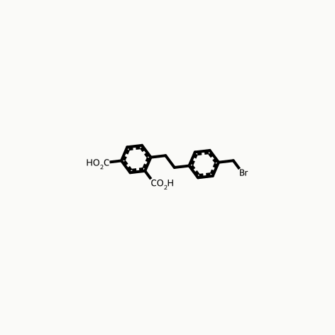 O=C(O)c1ccc(CCc2ccc(CBr)cc2)c(C(=O)O)c1